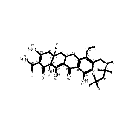 COc1c(CN(C)C(C)(C)CC(C)(C)C)cc(O)c2c1CC1C[C@H]3CC(O)=C(C(N)=O)C(=O)[C@@]3(O)C(O)=C1C2=O